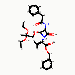 CCOC(C)(COC1C(NC(=O)Cc2ccccc2)C(=O)N1C(C(=O)OCc1ccccc1)=C(C)C)OCC